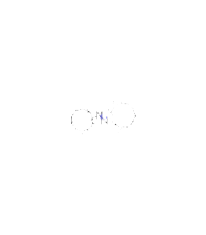 C1CCCCCC(/N=N/C2CCCCCCCCC2)CCCC1